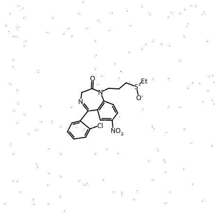 CC[S+]([O-])CCCN1C(=O)CN=C(c2ccccc2Cl)c2cc([N+](=O)[O-])ccc21